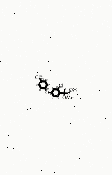 COC(C)(CO)c1ccc(Oc2ccc(Cl)cc2)cc1Cl